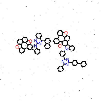 c1ccc(-c2ccc(-c3nc(-c4ccccc4)nc(-c4cccc(-n5c6ccccc6c6c7ccc8oc9cccc%10c9c8c7c7c(oc8cc(-c9ccc(-c%11nc(-n%12c%13ccccc%13c%13cc%14c%15c(oc%16ccc%17ccc%18oc%19cccc-%14c%19c%18c%17c%16%15)c%13%12)nc%12ccccc%11%12)c%11ccccc9%11)cc-%10c87)c65)c4)n3)cc2)cc1